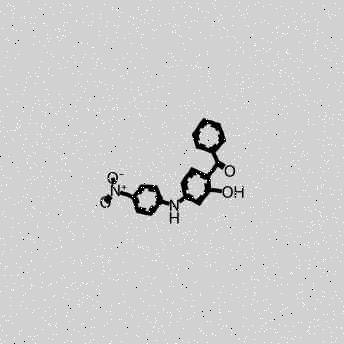 O=C(c1ccccc1)c1ccc(Nc2ccc([N+](=O)[O-])cc2)cc1O